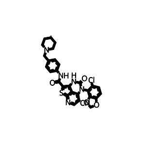 N#Cc1cnc2sc(C(=O)Nc3ccc(CN4CC[CH]CC4)cc3)c3c2c1N(c1c(Cl)ccc2c1OCO2)C(=O)N3